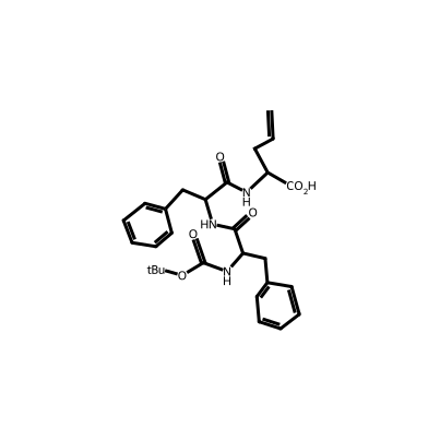 C=CCC(NC(=O)C(Cc1ccccc1)NC(=O)C(Cc1ccccc1)NC(=O)OC(C)(C)C)C(=O)O